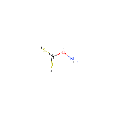 NOC([S])=S